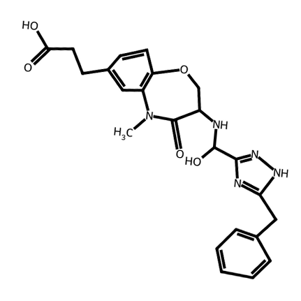 CN1C(=O)C(NC(O)c2n[nH]c(Cc3ccccc3)n2)COc2ccc(CCC(=O)O)cc21